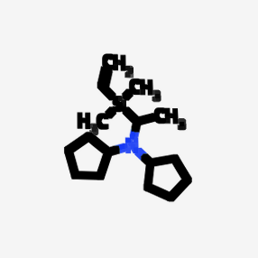 C=C[Si](C)(C)C(C)N(C1CCCC1)C1CCCC1